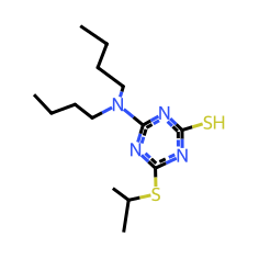 CCCCN(CCCC)c1nc(S)nc(SC(C)C)n1